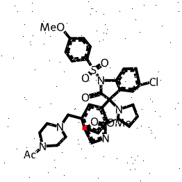 COc1ccc(S(=O)(=O)N2C(=O)C(c3cc(CN4CCN(C(C)=O)CC4)ccc3OC)(N3CCC[C@H]3c3ncco3)c3cc(Cl)ccc32)cc1